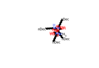 CCCCCCCCCCCCCCCCCC(=O)NC(CO)(CO)CO[Si](CCC[N+](C)(C)CCCCCCCCCCCCCC)(OCC(CO)(CO)NC(=O)CCCCCCCCCCCCCCCCC)OCC(CO)(CO)NC(=O)CCCCCCCCCCCCCCCCC